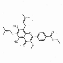 CCOC(=O)c1ccc(-c2oc3c(CC=C(C)C)c(O)c(CC=C(C)C)c(O)c3c(=O)c2OC)cc1